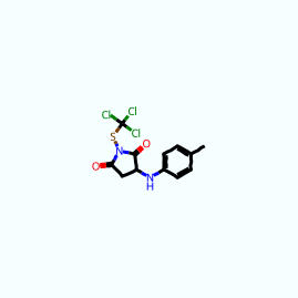 Cc1ccc(NC2CC(=O)N(SC(Cl)(Cl)Cl)C2=O)cc1